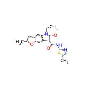 CCN1C(=O)C(C(=O)Nc2ncc(C)s2)c2cc3oc(C)cc3cc21